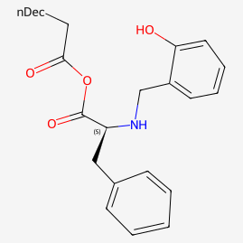 CCCCCCCCCCCC(=O)OC(=O)[C@H](Cc1ccccc1)NCc1ccccc1O